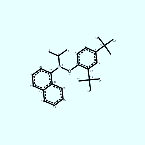 CC(C)P(Oc1ccc(C(C)(C)C)cc1C(C)(C)C)c1cccc2ccccc12